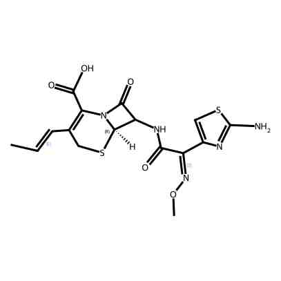 C/C=C/C1=C(C(=O)O)N2C(=O)C(NC(=O)/C(=N\OC)c3csc(N)n3)[C@H]2SC1